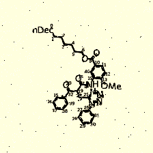 CCCCCCCCCCCCCCCCOC(=O)c1ccc(OC)c(NC(=O)C(Sc2nnnn2-c2ccccc2)C(=O)c2ccccc2)c1